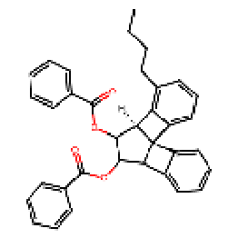 CCCCc1cccc2c1[C@@H]1C(OC(=O)c3ccccc3)C(OC(=O)c3ccccc3)C3c4ccccc4[C@@]231